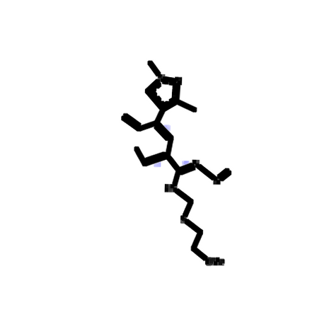 C=C\C(=C/C(=C\C)C(=N/N=C)/NCSCCOC)c1cn(C)nc1C